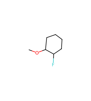 COC1CCCCC1F